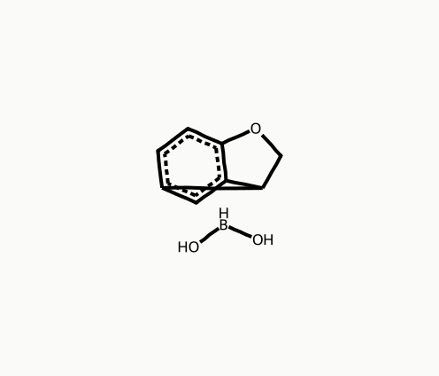 OBO.c1cc2c3cc1C3CO2